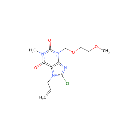 C=CCn1c(Cl)nc2c1c(=O)n(C)c(=O)n2COCCOC